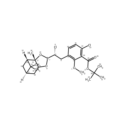 COc1c(C[C@@H](Cl)B2OC3C[C@H]4C[C@@H](C4(C)C)[C@]3(C)O2)ccc(Cl)c1C(=O)OC(C)(C)C